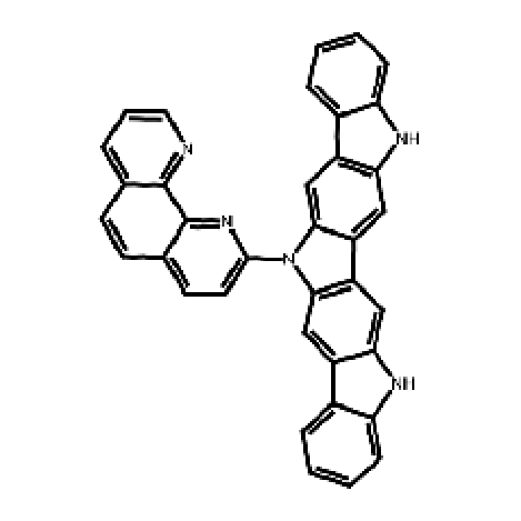 c1cnc2c(c1)ccc1ccc(-n3c4cc5c(cc4c4cc6[nH]c7ccccc7c6cc43)[nH]c3ccccc35)nc12